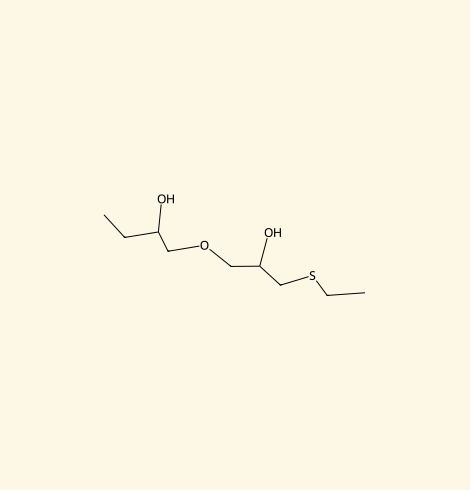 CCSCC(O)COCC(O)CC